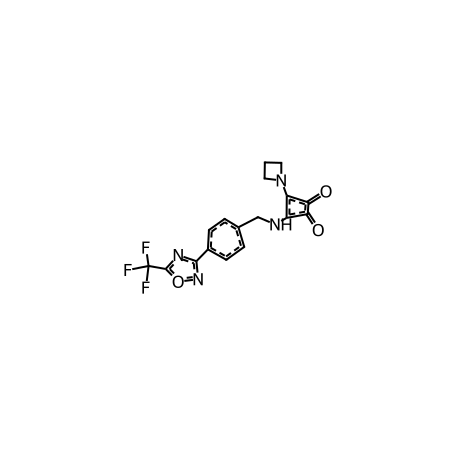 O=c1c(NCc2ccc(-c3noc(C(F)(F)F)n3)cc2)c(N2CCC2)c1=O